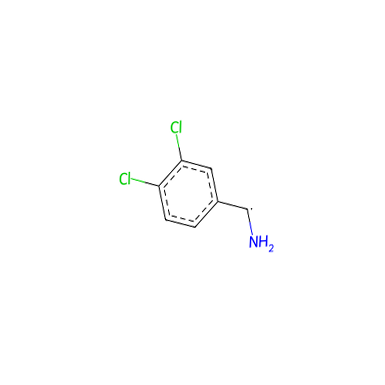 N[CH]c1ccc(Cl)c(Cl)c1